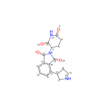 O=C1CCC(N2C(=O)c3cccc(C4CCNC4)c3C2=O)C(=O)N1